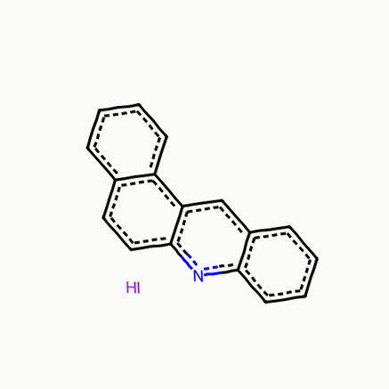 I.c1ccc2nc3ccc4ccccc4c3cc2c1